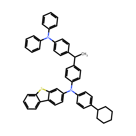 CC(c1ccc(N(c2ccccc2)c2ccccc2)cc1)c1ccc(N(c2ccc(C3CCCCC3)cc2)c2ccc3c(c2)sc2ccccc23)cc1